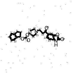 O=C(OC1CCc2ccccc21)ON1CCN(CCC(=O)c2ccc3[nH]c(=O)oc3c2)CC1